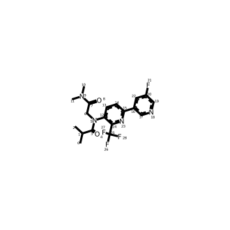 CC(C)C(=O)N(CC(=O)N(C)C)c1ccc(-c2cncc(F)c2)nc1C(F)(F)F